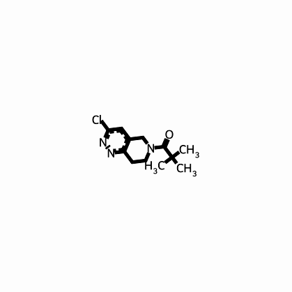 CC(C)(C)C(=O)N1CCc2nnc(Cl)cc2C1